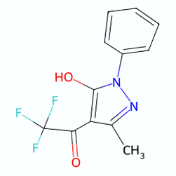 Cc1nn(-c2ccccc2)c(O)c1C(=O)C(F)(F)F